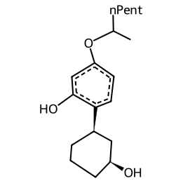 CCCCCC(C)Oc1ccc([C@@H]2CCC[C@H](O)C2)c(O)c1